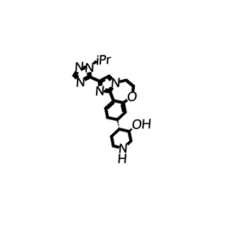 CC(C)n1ncnc1-c1cn2c(n1)C1=CCC([C@H]3CCNC[C@@H]3O)C=C1OCC2